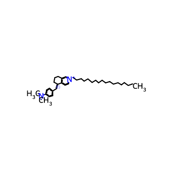 CCCCCCCCCCCCCCCCCC[n+]1ccc2c(c1)CCC/C2=C\c1ccc(N(C)C)cc1